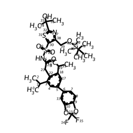 CC(C)c1cc(-c2ccc3c(c2)OC(F)(F)O3)cc(C(C)C)c1CC(=O)NS(=O)(=O)c1sc(C(C)(C)O)nc1CO[Si](C)(C)C(C)(C)C